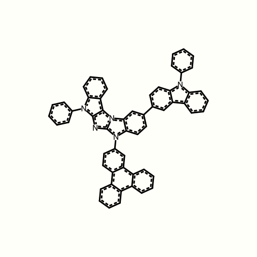 c1ccc(-n2c3ccccc3c3cc(-c4ccc5c(c4)n4c6c7ccccc7n(-c7ccccc7)c6nc4n5-c4ccc5c6ccccc6c6ccccc6c5c4)ccc32)cc1